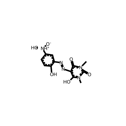 Cn1c(O)c(N=Nc2cc([NH+]([O-])O)ccc2O)c(=O)n(C)c1=O